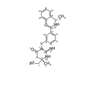 CC(C)C[C@]1(C)CC(=O)N(Cc2cccc(C(=O)N[C@@H](C)c3ccccc3)c2)C(=N)N1